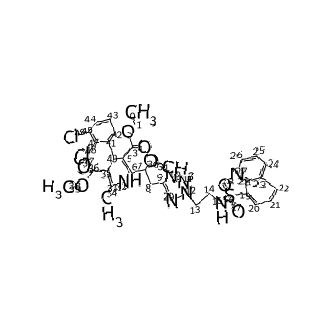 CCOC(=O)C1=C(C(Cc2nnn(CCNS(=O)(=O)c3cccc4cccnc34)n2)OC)NC(C)=C(C(=O)OC)C1c1cccc(Cl)c1Cl